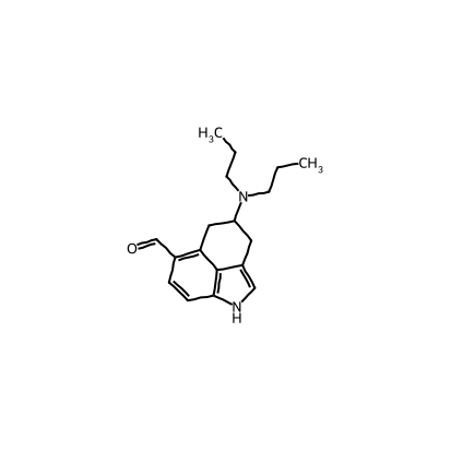 CCCN(CCC)C1Cc2c[nH]c3ccc(C=O)c(c23)C1